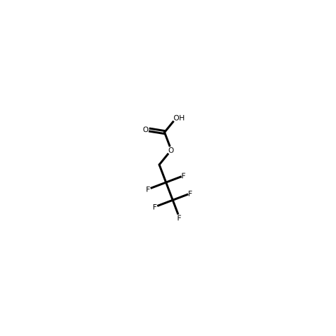 O=C(O)OCC(F)(F)C(F)(F)F